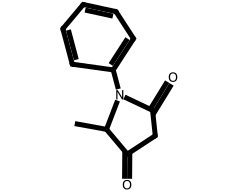 CC1C(=O)CC(=O)N1c1ccccc1